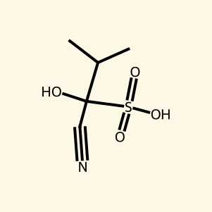 CC(C)C(O)(C#N)S(=O)(=O)O